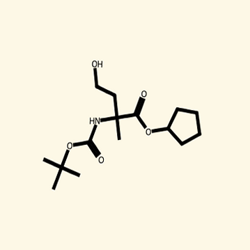 CC(C)(C)OC(=O)NC(C)(CCO)C(=O)OC1CCCC1